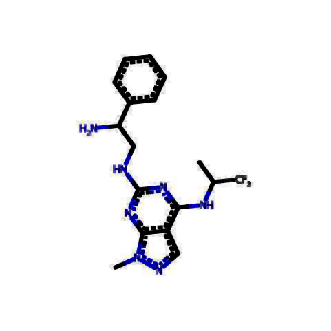 CC(Nc1nc(NCC(N)c2ccccc2)nc2c1cnn2C)C(F)(F)F